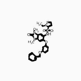 CCn1nccc1S(=O)(=O)Nc1cc2c(cc1Oc1cccc(OCc3ccccc3)c1)n(C)c(=O)n2C